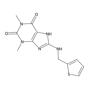 Cn1c(=O)c2[nH]c(NCc3cccs3)nc2n(C)c1=O